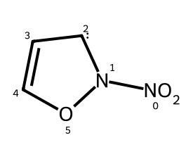 O=[N+]([O-])N1[C]C=CO1